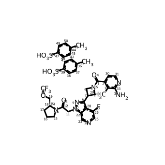 Cc1c(C(=O)N2CC(c3nn(CC(=O)N4CCC[C@H]4COC(F)(F)F)c4cncc(F)c34)C2)ccnc1N.Cc1ccc(S(=O)(=O)O)cc1.Cc1ccc(S(=O)(=O)O)cc1